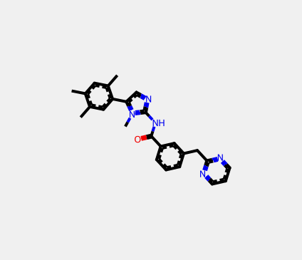 Cc1cc(C)c(-c2cnc(NC(=O)c3cccc(Cc4ncccn4)c3)n2C)cc1C